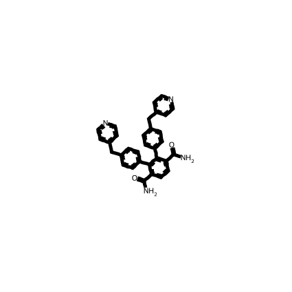 NC(=O)c1ccc(C(N)=O)c(-c2ccc(Cc3ccncc3)cc2)c1-c1ccc(Cc2ccncc2)cc1